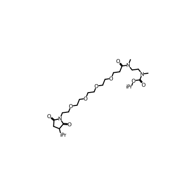 CC(C)OC(=O)N(C)CCN(C)C(=O)CCOCCOCCOCCOCCN1C(=O)CC(C(C)C)C1=O